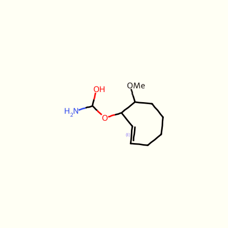 COC1CCCC/C=C/C1OC(N)O